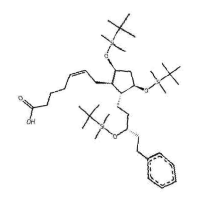 CC(C)(C)[Si](C)(C)O[C@@H](CCc1ccccc1)CC[C@@H]1[C@@H](C/C=C\CCCC(=O)O)[C@@H](O[Si](C)(C)C(C)(C)C)C[C@H]1O[Si](C)(C)C(C)(C)C